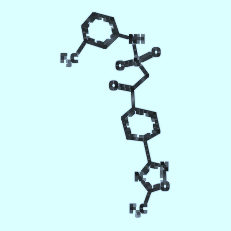 O=C(CS(=O)(=O)Nc1cccc(C(F)(F)F)c1)c1ccc(-c2noc(C(F)(F)F)n2)cc1